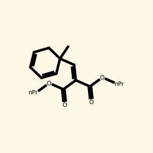 CCCOC(=O)C(=CC1(C)C=CC=CC1)C(=O)OCCC